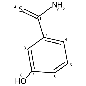 NC(=S)c1cccc(O)c1